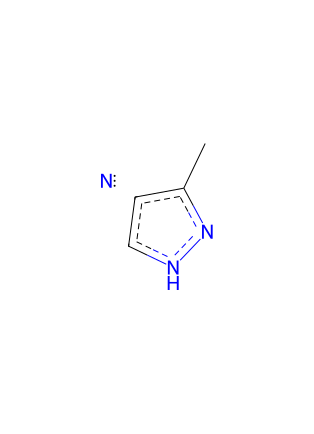 Cc1cc[nH]n1.[N]